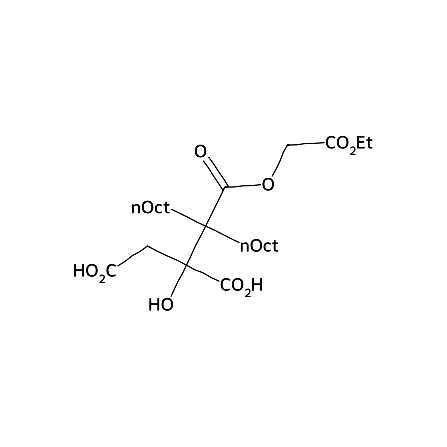 CCCCCCCCC(CCCCCCCC)(C(=O)OCC(=O)OCC)C(O)(CC(=O)O)C(=O)O